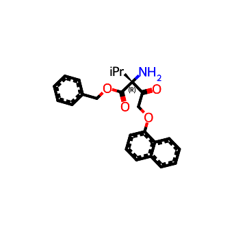 CC(C)[C@@](N)(C(=O)COc1cccc2ccccc12)C(=O)OCc1ccccc1